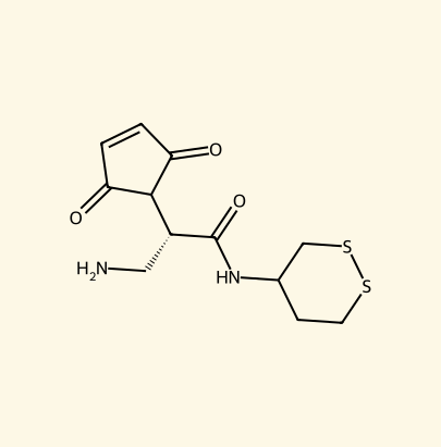 NC[C@@H](C(=O)NC1CCSSC1)C1C(=O)C=CC1=O